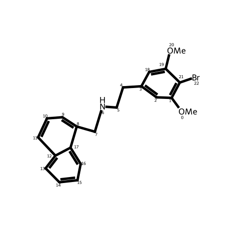 COc1cc(CCNCc2cccc3ccccc23)cc(OC)c1Br